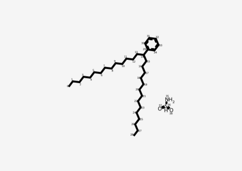 CCCCCCCCCCCCCCC(CCCCCCCCCCCCCC)c1ccccc1.N[SH](=O)=O